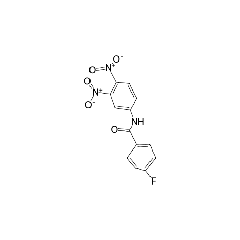 O=C(Nc1ccc([N+](=O)[O-])c([N+](=O)[O-])c1)c1ccc(F)cc1